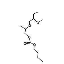 CCCCOC(=O)OCC(C)OCC(CC)OC